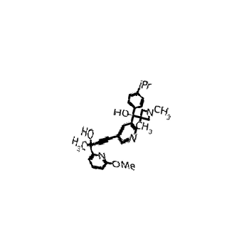 COc1cccc(C(C)(O)C#Cc2cncc([C@@](O)(c3ccc(C(C)C)cc3)C3(C)CN(C)C3)c2)n1